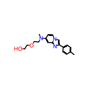 Cc1ccc(-c2cn3ccc(N(C)CCOCCO)cc3n2)cc1